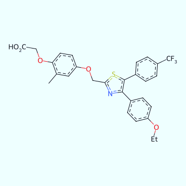 CCOc1ccc(-c2nc(COc3ccc(OCC(=O)O)c(C)c3)sc2-c2ccc(C(F)(F)F)cc2)cc1